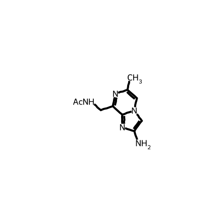 CC(=O)NCc1nc(C)cn2cc(N)nc12